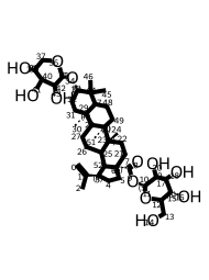 C=C(C)[C@@H]1CC[C@]2(C(=O)O[C@@H]3OC(CO)[C@@H](O)C(O)C3O)CC[C@]3(C)C(CCC4[C@@]5(C)CC[C@H](O[C@@H]6OC[C@H](O)C(O)C6O)C(C)(C)C5CC[C@]43C)C12